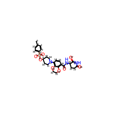 Cc1ccc(S(=O)(=O)OC2CCN(c3ccc(C(=O)NC4CCC(=O)NC4=O)c4c3OCCO4)CC2)cc1